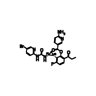 CCC(=O)c1ccc(F)c([C@H]2C[C@H]2NC(=O)Nc2ccc(Br)cn2)c1OC(=O)c1ccc(N)nc1